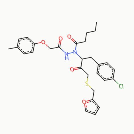 CCCCC(=O)N(NC(=O)COc1ccc(C)cc1)C(Cc1ccc(Cl)cc1)C(=O)CSCc1ccco1